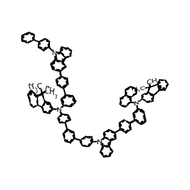 CC1(C)c2ccccc2-c2ccc(N(c3ccc(-c4cccc(-c5ccc(-n6c7ccccc7c7cc(-c8ccc(-c9cccc(N(c%10ccc%11c(c%10)C(C)(C)c%10ccccc%10-%11)c%10cccc%11ccccc%10%11)c9)cc8)ccc76)cc5)c4)cc3)c3cccc(-c4ccc(-c5ccc6c(c5)c5ccccc5n6-c5ccc(-c6ccccc6)cc5)cc4)c3)cc21